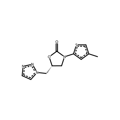 Cc1csc(N2C[C@H](Cn3ccnn3)OC2=O)c1